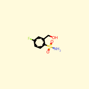 NS(=O)(=O)c1ccc(F)cc1CO